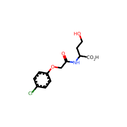 O=C(COc1ccc(Cl)cc1)NC(CCO)C(=O)O